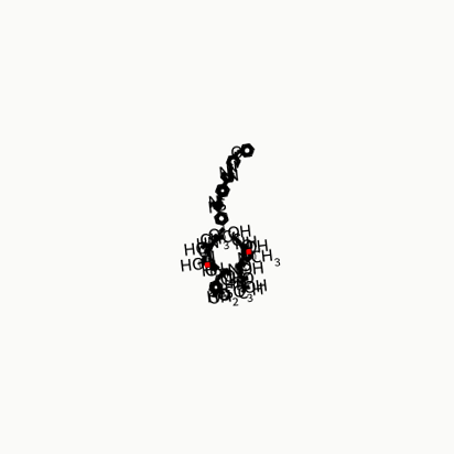 C[C@@H](O)C1NC(=O)[C@@H](CC[C@H]2CC[C@H](c3nnc(-c4ccc(-c5cnc(N6CCC(OC7CCCCC7)CC6)nc5)cc4)s3)CC2)C[C@@H](O)CNC(=O)[C@@H]2[C@@H](O)[C@@H](C)CN2C(=O)[C@H]([C@H](O)CC(=O)NC(O)C(=O)O)NC(=O)[C@H]([C@H](O)Cc2ccc(O)c(OS(=O)(=O)O)c2)NC(=O)[C@@H]2C[C@@H](O)CN2C1=O